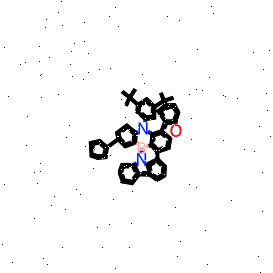 CC(C)(C)c1cc(N2c3ccc(-c4ccccc4)cc3B3c4c(cc5oc6ccccc6c5c42)-c2cccc4c5ccccc5n3c24)cc(C(C)(C)C)c1